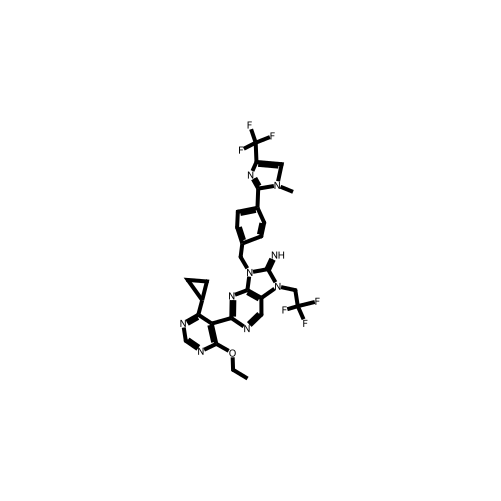 CCOc1ncnc(C2CC2)c1-c1ncc2c(n1)n(Cc1ccc(-c3nc(C(F)(F)F)cn3C)cc1)c(=N)n2CC(F)(F)F